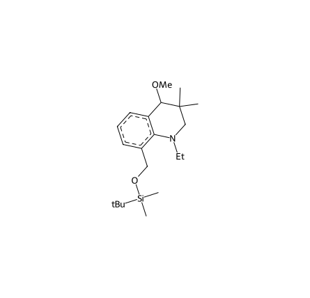 CCN1CC(C)(C)C(OC)c2cccc(CO[Si](C)(C)C(C)(C)C)c21